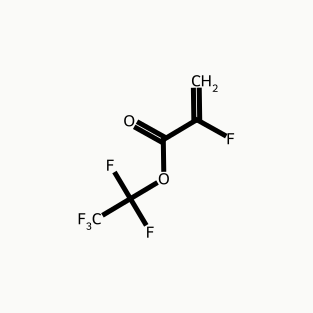 C=C(F)C(=O)OC(F)(F)C(F)(F)F